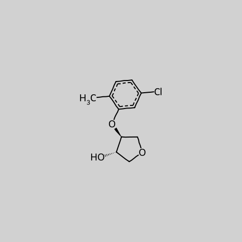 Cc1ccc(Cl)cc1O[C@H]1COC[C@@H]1O